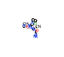 CN1CCC[C@H]1COc1nc2c(c(N3CCN(C(=O)/C=C/n4cnnc4)[C@@H](CC#N)C3)n1)CCN(c1cccc3cccc(Cl)c13)C2